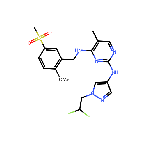 COc1ccc(S(C)(=O)=O)cc1CNc1nc(Nc2cnn(CC(F)F)c2)ncc1C